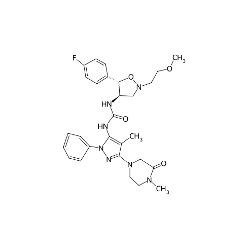 COCCN1C[C@@H](NC(=O)Nc2c(C)c(N3CCN(C)C(=O)C3)nn2-c2ccccc2)[C@H](c2ccc(F)cc2)O1